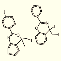 CC1(CI)OC(c2ccc(I)cc2)=Nc2ccccc21.ICC1(I)N=C(c2ccccc2)Oc2ccccc21